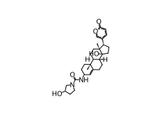 C[C@]12CC[C@H](NC(=O)N3CCC(O)C3)C=C1CC[C@@H]1[C@@H]2CC[C@]2(C)[C@@H](c3ccc(=O)oc3)CC[C@]12O